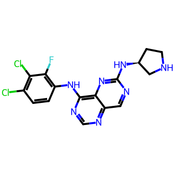 Fc1c(Nc2ncnc3cnc(N[C@H]4CCNC4)nc23)ccc(Cl)c1Cl